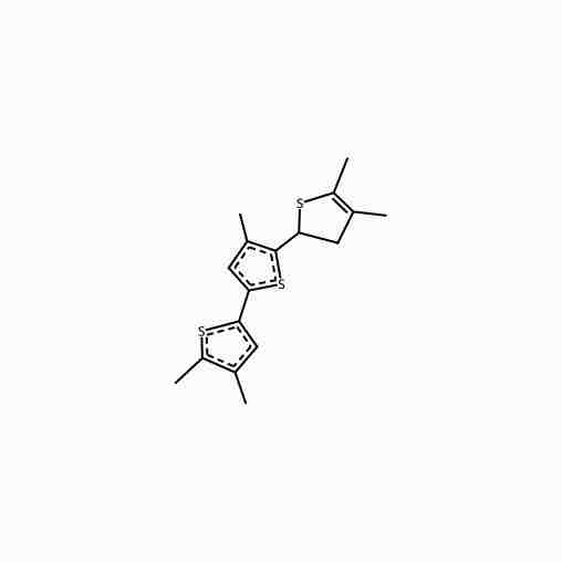 CC1=C(C)SC(c2sc(-c3cc(C)c(C)s3)cc2C)C1